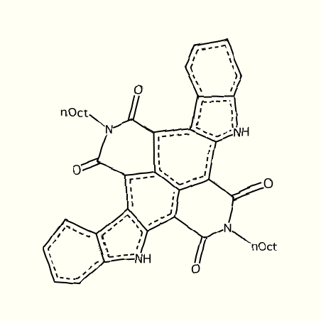 CCCCCCCCN1C(=O)c2c3[nH]c4ccccc4c3c3c4c(c5c([nH]c6ccccc65)c(c24)C1=O)C(=O)N(CCCCCCCC)C3=O